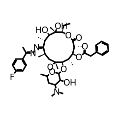 CC[C@H]1OC(=O)[C@H](C)[C@@H](OC(=O)Cc2ccccc2)[C@H](C)[C@@H](OC2OC(C)CC(N(C)C)C2O)[C@](C)(OC)C[C@@H](C)/C(=N\N=C(/C)c2ccc(F)cc2)[C@H](C)[C@@H](O)[C@]1(C)O